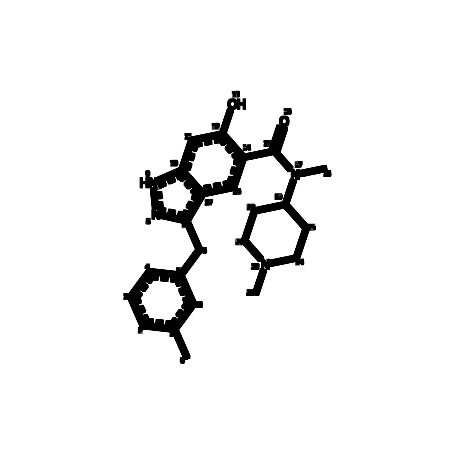 Cc1cccc(Cc2n[nH]c3cc(O)c(C(=O)N(C)C4CCN(C)CC4)cc23)c1